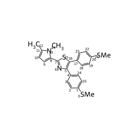 CSc1ccc(-c2nc(-c3ccc(C)n3C)sc2-c2ccc(SC)cc2)cc1